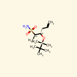 C=CC[C@H](O[Si](C)(C)C(C)(C)C)[C@@H](C)S(N)(=O)=O